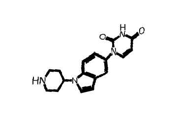 O=c1ccn(-c2ccc3c(ccn3C3CCNCC3)c2)c(=O)[nH]1